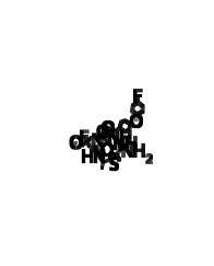 COC[C@@]1(F)C[C@@H](C(=O)NC(C)c2cc(C(=N)N)cs2)N(C(=O)CNC(=O)c2ccc(Oc3ccc(F)cc3)cc2)C1